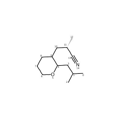 CC(C)CC1OCCCC1C[C@H](C)C#N